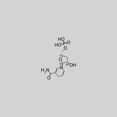 NC(=O)C1=CN([C@H]2O[C@H](COP(=O)(O)O)C[C@H]2O)C=CC1